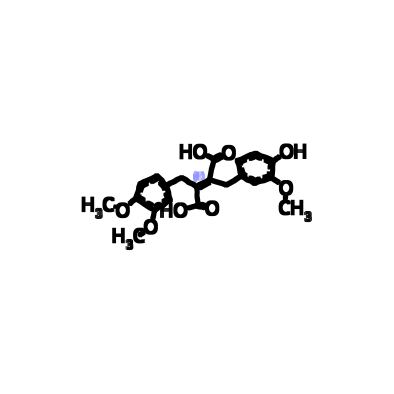 COc1cc(C/C(C(=O)O)=C(/Cc2ccc(OC)c(OC)c2)C(=O)O)ccc1O